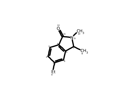 CCc1ccc2c(c1)C(C)N(C)C2=O